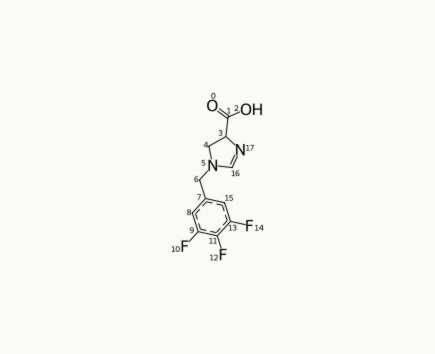 O=C(O)C1CN(Cc2cc(F)c(F)c(F)c2)C=N1